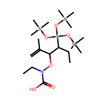 C=C(C)C(ON(CC)C(=O)O)C(CC)[Si](O[Si](C)(C)C)(O[Si](C)(C)C)O[Si](C)(C)C